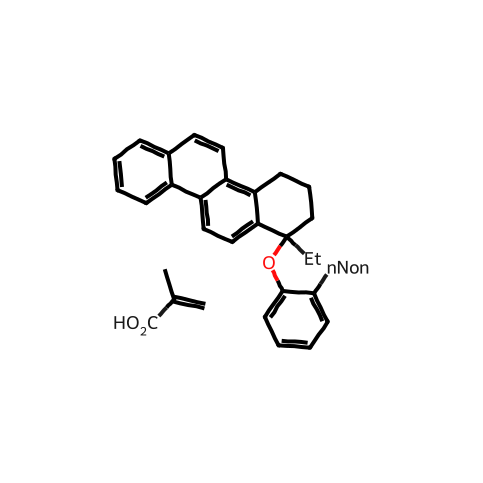 C=C(C)C(=O)O.CCCCCCCCCc1ccccc1OC1(CC)CCCc2c1ccc1c2ccc2ccccc21